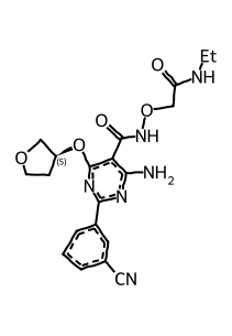 CCNC(=O)CONC(=O)c1c(N)nc(-c2cccc(C#N)c2)nc1O[C@H]1CCOC1